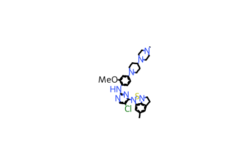 COc1cc(N2CCC(N3CCN(C)CC3)CC2)ccc1Nc1ncc(Cl)c(N2SN3CCc4cc(C)cc2c43)n1